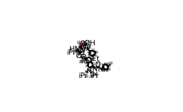 CCC(CC(=O)OC(OC(=O)[C@@H](NC(=O)[C@H](C)OP(=O)(O)OCc1ccccc1)C(C)C)C(C)C)c1ccc(N(CC(C)C)CC(C)C)c(NC(=O)Nc2ccc(C)cc2)c1